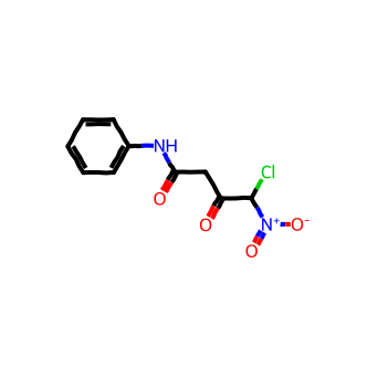 O=C(CC(=O)C(Cl)[N+](=O)[O-])Nc1ccccc1